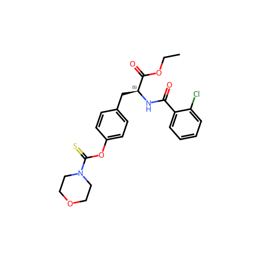 CCOC(=O)[C@H](Cc1ccc(OC(=S)N2CCOCC2)cc1)NC(=O)c1ccccc1Cl